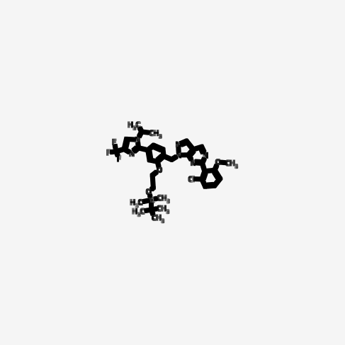 COc1cccc(Cl)c1-c1ncc2cnn(Cc3ccc(-c4nc(C(F)(F)F)cn4C(C)C)cc3OCCO[Si](C)(C)C(C)(C)C)c2n1